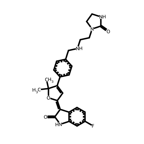 CC1(C)OC(=C2C(=O)Nc3cc(F)ccc32)C=C1c1ccc(CNCCN2CCNC2=O)cc1